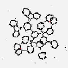 c1ccc(-c2cccc([Si](c3cccc(-c4ccccc4)c3)(c3cccc(-c4ccccc4)c3)c3cc(-c4nc(-n5c6ccccc6c6ccccc65)cc(-n5c6ccccc6c6ccccc65)n4)cc([Si](c4cccc(-c5ccccc5)c4)(c4cccc(-c5ccccc5)c4)c4cccc(-c5ccccc5)c4)c3)c2)cc1